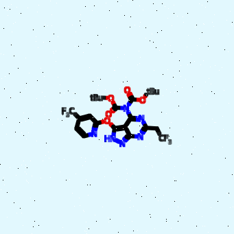 CC(C)(C)OC(=O)N(C(=O)OC(C)(C)C)c1nc(CC(F)(F)F)nc2n[nH]c(Oc3cc(C(F)(F)F)ccn3)c12